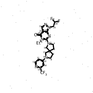 CCn1c(N2CCC3(CCN(c4ccnc(C(F)(F)F)c4)C3)C2)nc2c(cnn2CC(F)F)c1=O